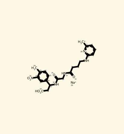 Cc1cccc(NCCCC(=O)NCC(=O)NC(CC(=O)O)c2ccc(C)c([N+](=O)[O-])c2)n1.[Na+]